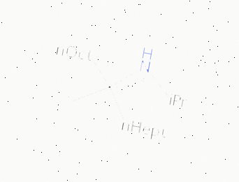 CCCCCCCCC(C)(CCCCCCC)NC(C)C